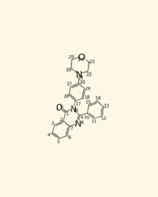 O=c1c2ccccc2nc(-c2ccccc2)n1-c1ccc(N2CCOCC2)cc1